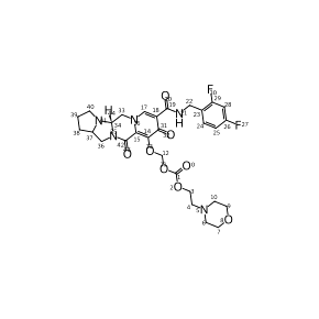 O=C(OCCN1CCOCC1)OCOc1c2n(cc(C(=O)NCc3ccc(F)cc3F)c1=O)C[C@@H]1N(CC3CCCN31)C2=O